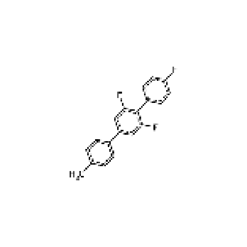 Cc1ccc(-c2cc(F)c(-c3ccc(F)cc3)c(F)c2)cc1